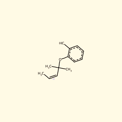 [CH]c1ccccc1OC(C)(C)/C=C\C